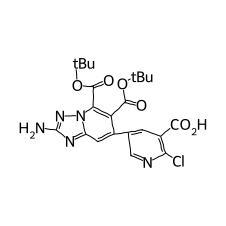 CC(C)(C)OC(=O)c1c(-c2cnc(Cl)c(C(=O)O)c2)cc2nc(N)nn2c1C(=O)OC(C)(C)C